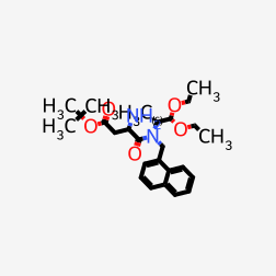 CCOC(OCC)[C@H](C)N(Cc1cccc2ccccc12)C(=O)C(N)CC(=O)OC(C)(C)C